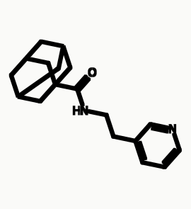 O=C(NCCc1cccnc1)C12CC3CC(CC(C3)C1)C2